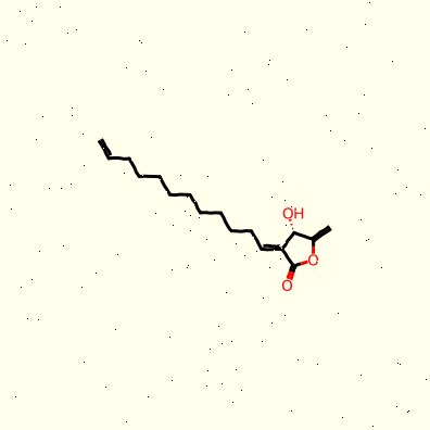 C=CCCCCCCCCC/C=C1/C(=O)OC(=C)[C@H]1O